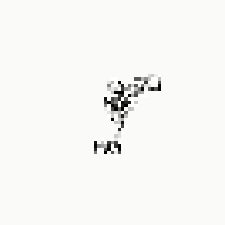 Cn1cc(C(=O)NCc2ccc(Cl)cc2)c(=O)c2cc(CCCCCO)oc21